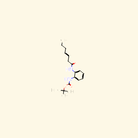 CCCC=CCC(=O)Nc1ccccc1NC(=O)OC(C)(C)C